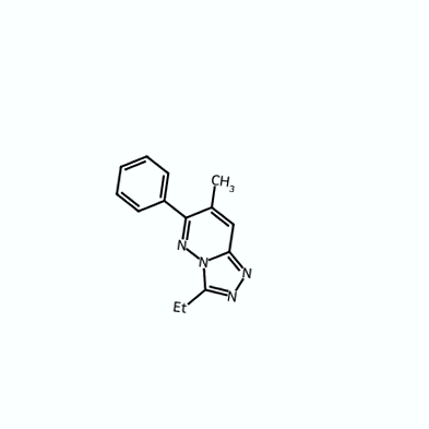 CCc1nnc2cc(C)c(-c3ccccc3)nn12